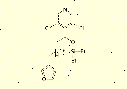 CC[Si](CC)(CC)OC(CNCc1ccoc1)c1c(Cl)cncc1Cl